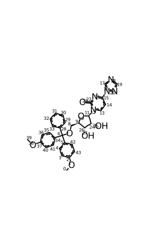 COc1ccc(C(OC[C@H]2O[C@@H](n3ccc(-n4cncn4)nc3=O)[C@H](O)[C@@H]2O)(c2ccccc2)c2ccc(OC)cc2)cc1